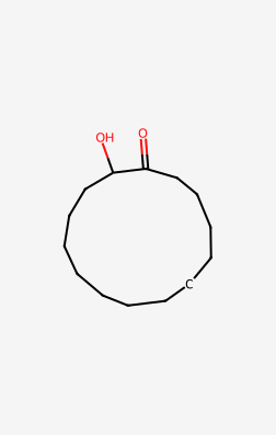 O=C1CCCCCCCCCCCCC1O